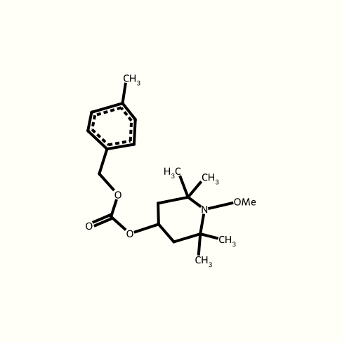 CON1C(C)(C)CC(OC(=O)OCc2ccc(C)cc2)CC1(C)C